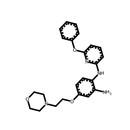 Nc1cc(OCCN2CCOCC2)ccc1Nc1cc[c]c(Oc2ccccc2)n1